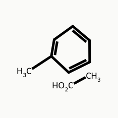 CC(=O)O.Cc1ccccc1